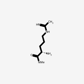 CNC(=O)[C@@H](N)CCCNC(C)=N